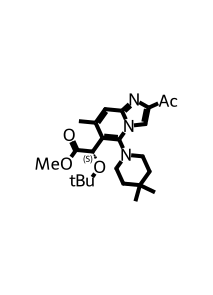 COC(=O)[C@@H](OC(C)(C)C)c1c(C)cc2nc(C(C)=O)cn2c1N1CCC(C)(C)CC1